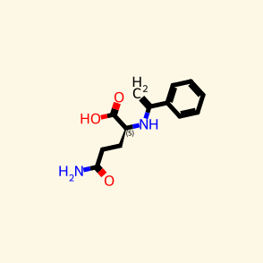 C=C(N[C@@H](CCC(N)=O)C(=O)O)c1ccccc1